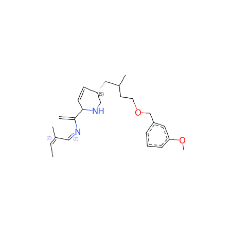 C=C(/N=C\C(C)=C/C)C1C=C[C@H](CC(C)CCOCc2cccc(OC)c2)CN1